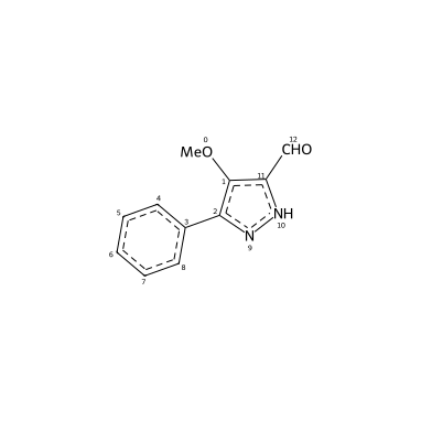 COc1c(-c2ccccc2)n[nH]c1C=O